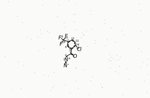 [N-]=[N+]=CC(=O)c1cc(C(F)(F)F)ccc1Cl